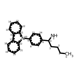 CCCCC([NH])c1ccc(-n2c3ccccc3c3ccccc32)cc1